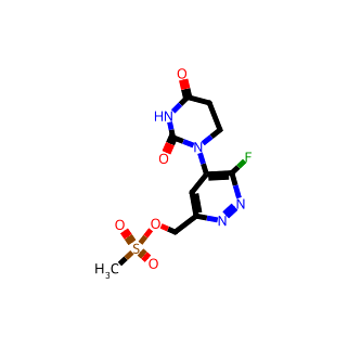 CS(=O)(=O)OCc1cc(N2CCC(=O)NC2=O)c(F)nn1